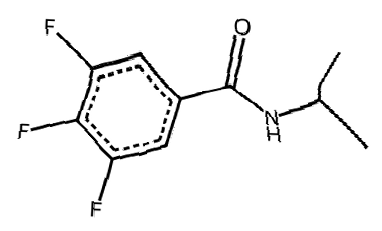 CC(C)NC(=O)c1cc(F)c(F)c(F)c1